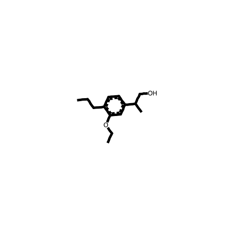 CCCc1ccc([C](C)CO)cc1OCC